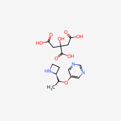 CC(Oc1cncnc1)[C@@H]1CCN1.O=C(O)CC(O)(CC(=O)O)C(=O)O